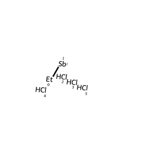 C[CH2][Sb].Cl.Cl.Cl.Cl